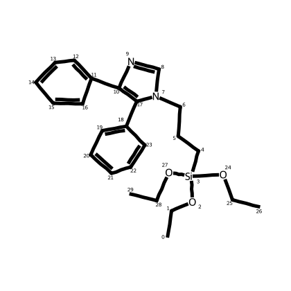 CCO[Si](CCCn1cnc(-c2ccccc2)c1-c1ccccc1)(OCC)OCC